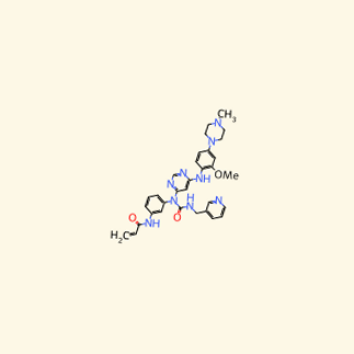 C=CC(=O)Nc1cccc(N(C(=O)NCc2cccnc2)c2cc(Nc3ccc(N4CCN(C)CC4)cc3OC)ncn2)c1